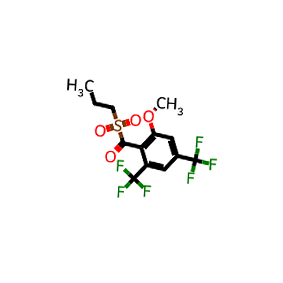 CCCS(=O)(=O)C(=O)c1c(OC)cc(C(F)(F)F)cc1C(F)(F)F